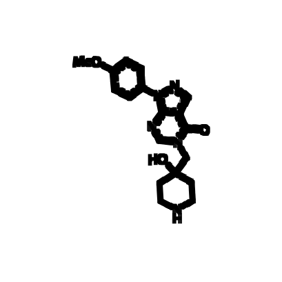 COc1ccc(-n2ncc3c(=O)n(CC4(O)CCNCC4)cnc32)cc1